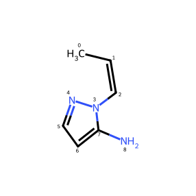 C/C=C\n1nccc1N